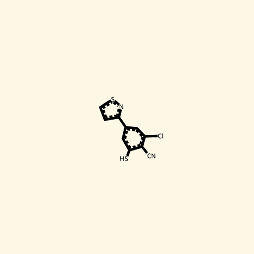 N#Cc1c(S)cc(-c2ccsn2)cc1Cl